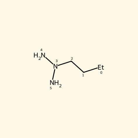 CCCCN(N)N